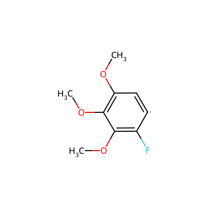 COc1c[c]c(F)c(OC)c1OC